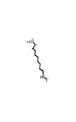 CCNCCCCCCCCCO